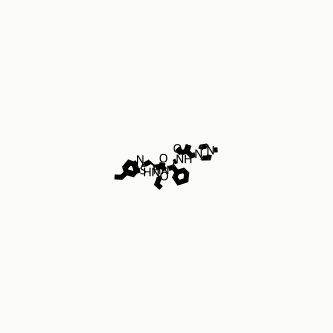 C=C(CN1CCN(C)CC1)C(=O)NC[C@@H](NC(=O)[C@H](Cc1nc2ccc(CC)cc2s1)NC(=O)CC)C1CCCCC1